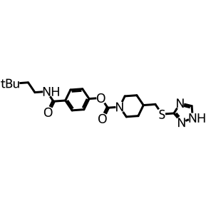 CC(C)(C)CCNC(=O)c1ccc(OC(=O)N2CCC(CSc3nc[nH]n3)CC2)cc1